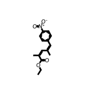 CCOC(=O)C(C)=CC(C)=Cc1ccc([N+](=O)[O-])cc1